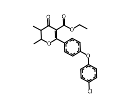 CCOC(=O)C1=C(c2ccc(Oc3ccc(Cl)cc3)cc2)OC(C)C(C)C1=O